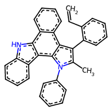 C=Cc1ccccc1-c1c(C)n(-c2ccccc2)c2c1c1ccccc1c1[nH]c3ccccc3c12